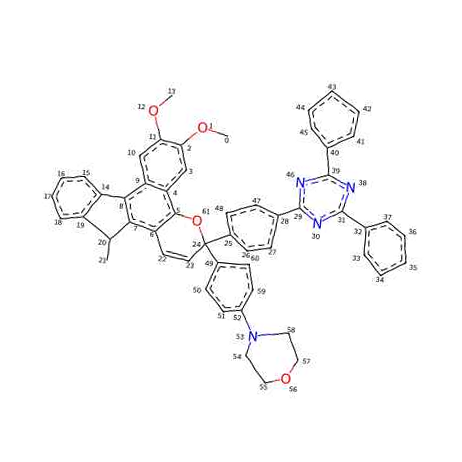 COc1cc2c3c(c4c(c2cc1OC)-c1ccccc1C4C)C=CC(c1ccc(-c2nc(-c4ccccc4)nc(-c4ccccc4)n2)cc1)(c1ccc(N2CCOCC2)cc1)O3